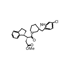 COC(=O)C[C@H](C(=O)N1CCC[C@@](N)(Cc2ccc(Cl)cc2)C1)[C@@H]1CCc2ccccc21